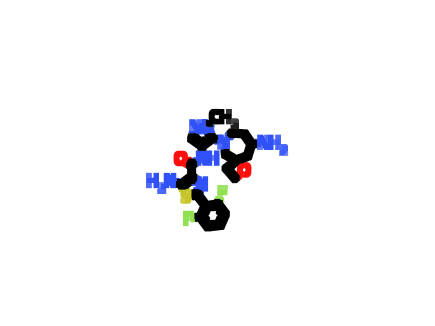 Cn1ncc(NC(=O)c2nc(-c3c(F)cccc3F)sc2N)c1N1CCC(N)CC2(CCO2)C1